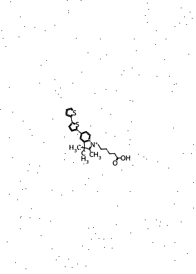 CC1=[N+](CCCCCC(=O)O)c2ccc(-c3ccc(-c4cccs4)s3)cc2C1(C)C